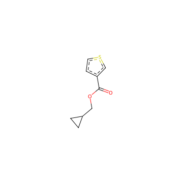 O=C(OCC1CC1)c1ccsc1